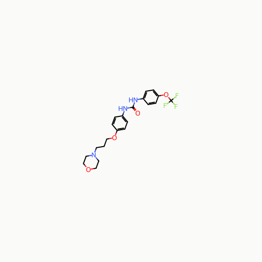 O=C(Nc1ccc(OCCCN2CCOCC2)cc1)Nc1ccc(OC(F)(F)F)cc1